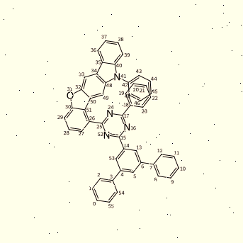 c1ccc(-c2cc(-c3ccccc3)cc(-c3nc(-c4ccccc4)nc(-c4cccc5oc6cc7c8ccccc8n(-c8ccccc8)c7cc6c45)n3)c2)cc1